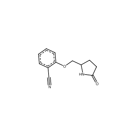 N#Cc1ccccc1OCC1CCC(=O)N1